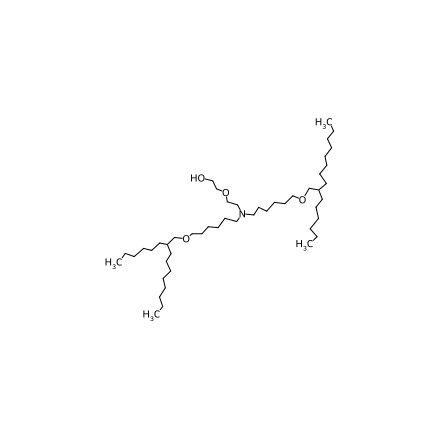 CCCCCCCCC(CCCCCC)COCCCCCCN(CCCCCCOCC(CCCCCC)CCCCCCCC)CCOCCO